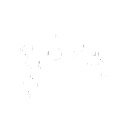 CN1CCN(c2cn3nccc3c(-c3ccc(CNC(=O)c4nnc(C(C)(C)C)o4)c(F)c3)n2)CC1